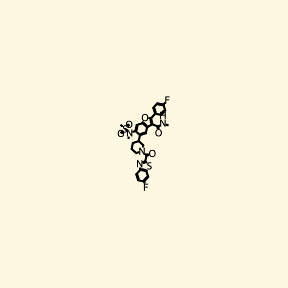 CNC(=O)c1c(-c2ccc(F)cc2)oc2cc(N(C)S(C)(=O)=O)c(C3CCCN(C(=O)c4nc5ccc(F)cc5s4)C3)cc12